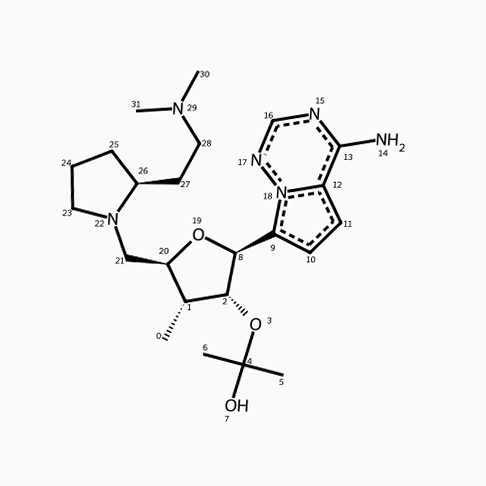 C[C@H]1[C@@H](OC(C)(C)O)[C@H](c2ccc3c(N)ncnn23)O[C@@H]1CN1CCC[C@H]1CCN(C)C